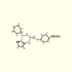 CC(=O)Nc1ccc(CSC(CCc2ccccc2)Cn2ccnc2)cc1